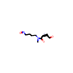 CN(CCCCN=O)C(=O)/C=C\C=O